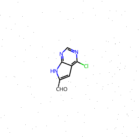 O=Cc1cc2c(Cl)ncnc2[nH]1